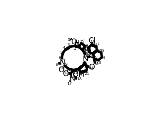 CO[C@H]1C=CCCN(C)C(=O)C[C@](O)(C(=O)N(C)C)c2ccc3c(c2)N(C[C@@H]2CC[C@H]21)C[C@@]1(CCCc2cc(Cl)ccc21)CO3